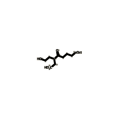 CCCCCCCCCCCC(=O)N(CCO)CC(=O)O